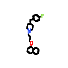 Fc1ccc(CC2CCN(CCCOc3cccc4ccccc34)CC2)cc1